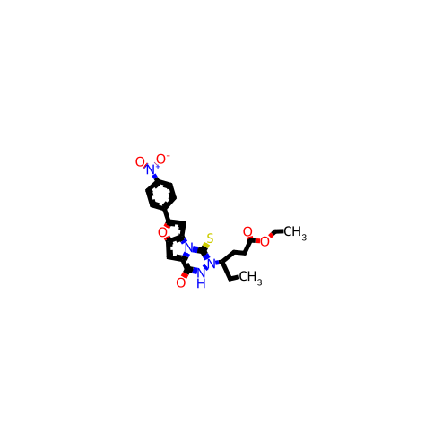 CCOC(=O)CCC(CC)n1[nH]c(=O)c2cc3oc(-c4ccc([N+](=O)[O-])cc4)cc3n2c1=S